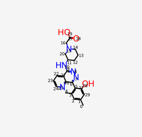 Cc1cc(C)c(-c2nnc(NC3CCCN(CC(=O)O)C3)c3cccnc23)c(O)c1